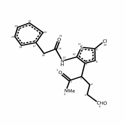 CNC(=O)C(CCC=O)c1cc(Cl)sc1NC(=O)Cc1ccccc1